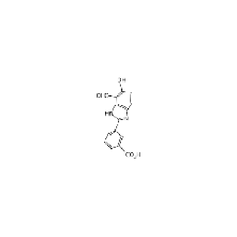 O=Cc1c(O)ccc2nc(-c3cccc(C(=O)O)c3)[nH]c12